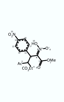 CCOC(=O)C(C(C)=O)C(C(C(=O)OC)=[N+]([O-])O)c1ccc([N+](=O)[O-])cc1